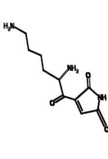 NCCCCC(N)C(=O)C1=CC(=O)NC1=O